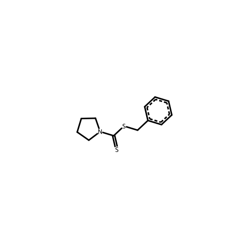 S=C(SCc1ccccc1)N1CCCC1